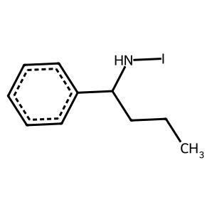 CCCC(NI)c1ccccc1